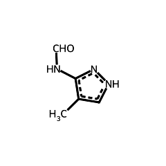 Cc1c[nH]nc1NC=O